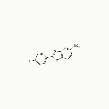 O=[N+]([O-])c1ccc2oc(-c3ccc(I)cc3)nc2c1